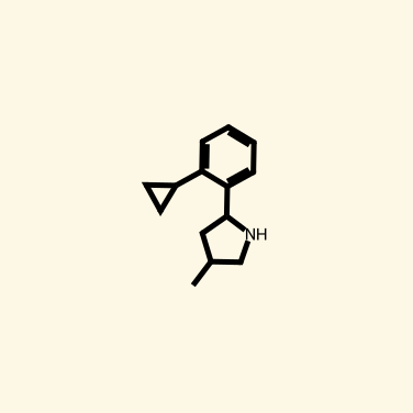 CC1CNC(c2ccccc2C2CC2)C1